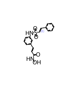 O=C(C=Cc1cccc(NS(=O)(=O)/C=C/c2ccccc2)c1)NO